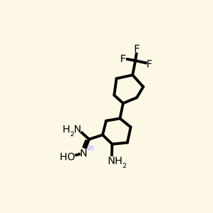 N/C(=N\O)C1CC(C2CCC(C(F)(F)F)CC2)CCC1N